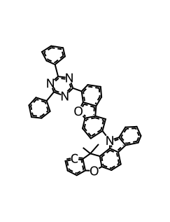 CC1(C)c2ccccc2Oc2ccc3c4ccccc4n(-c4ccc5oc6c(-c7nc(-c8ccccc8)nc(-c8ccccc8)n7)cccc6c5c4)c3c21